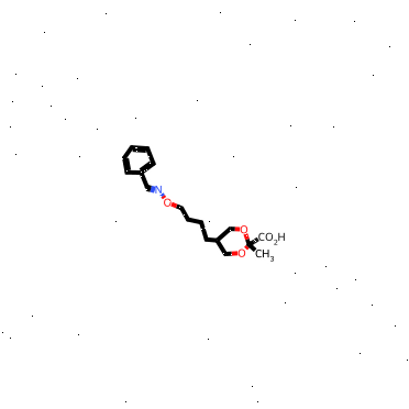 CC1(C(=O)O)OCC(CCCCON=Cc2ccccc2)CO1